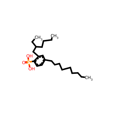 CCCCCCCCCc1ccc(P(=O)(O)O)c(CC(CC)CCCC)c1